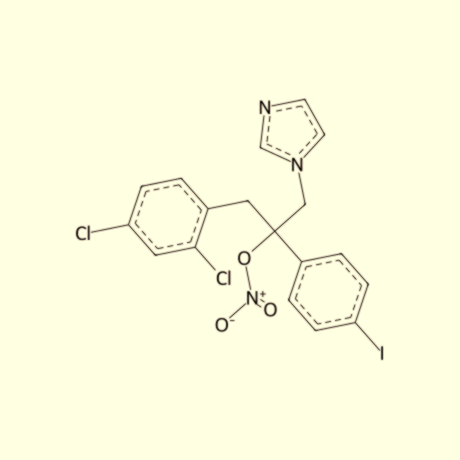 O=[N+]([O-])OC(Cc1ccc(Cl)cc1Cl)(Cn1ccnc1)c1ccc(I)cc1